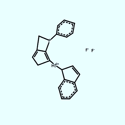 C1=C[CH]([Hf+2][C]2=C3C(=CC2)CP3c2ccccc2)c2ccccc21.[F-].[F-]